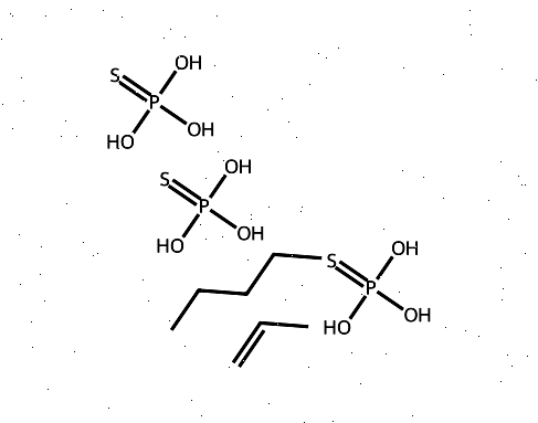 C=CC.CCCCC.OP(O)(O)=S.OP(O)(O)=S.OP(O)(O)=S